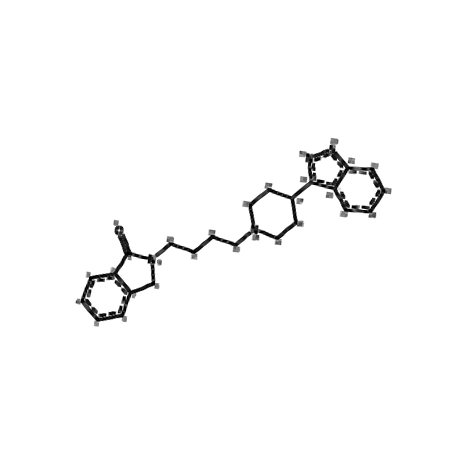 O=C1c2ccccc2CN1CCCCN1CCC(c2nsc3ccccc23)CC1